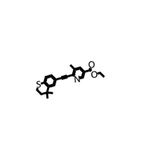 CCOC(=O)c1cnc(C#Cc2ccc3c(c2)C(C)(C)CCS3)c(C)c1